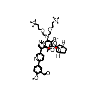 COc1ccc(-c2ccc(-c3cnn4c(N(COCC[Si](C)(C)C)COCC[Si](C)(C)C)c(Br)c([C@H]5C[C@H]6CC[C@@H](C5)N6C(=O)OC(C)(C)C)nc34)cn2)cc1C=O